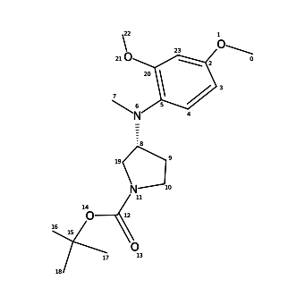 COc1ccc(N(C)[C@@H]2CCN(C(=O)OC(C)(C)C)C2)c(OC)c1